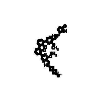 COc1nc(-c2cccc(-c3cccc(-c4cnc(CNC5CC6(C5)C[S+]([O-])C6)c(OC)n4)c3Cl)c2Cl)cnc1CNC[C@@H]1CCC(=O)N1